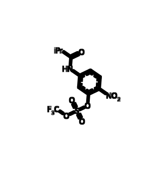 CC(C)C(=O)Nc1ccc([N+](=O)[O-])c(OS(=O)(=O)OC(F)(F)F)c1